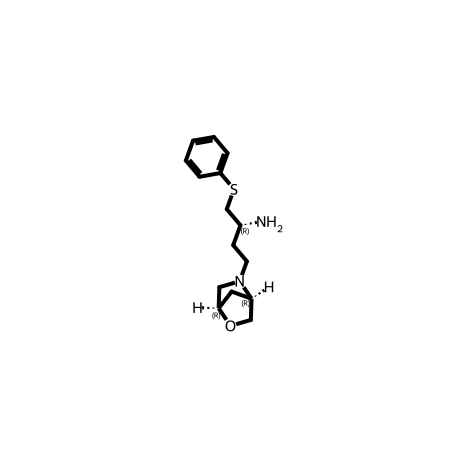 N[C@H](CCN1C[C@H]2C[C@@H]1CO2)CSc1ccccc1